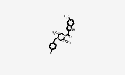 Cc1ccc2[nH]c(C(=O)N3C[C@@H](C)N(Cc4ccc(F)cc4)C[C@@H]3C)cc2c1